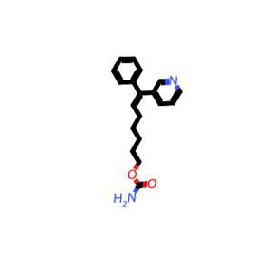 NC(=O)OCCCCCC=C(c1ccccc1)c1cccnc1